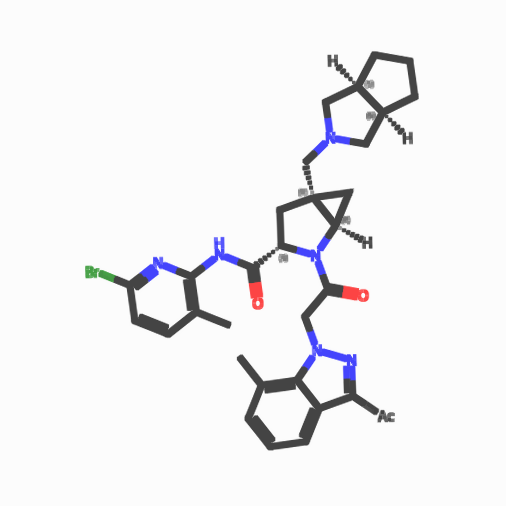 CC(=O)c1nn(CC(=O)N2[C@H](C(=O)Nc3nc(Br)ccc3C)C[C@@]3(CN4C[C@H]5CCC[C@H]5C4)C[C@@H]23)c2c(C)cccc12